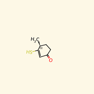 C[C@H]1CCC(=O)C=C1S